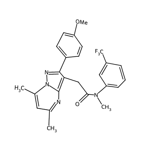 COc1ccc(-c2nn3c(C)cc(C)nc3c2CC(=O)N(C)c2cccc(C(F)(F)F)c2)cc1